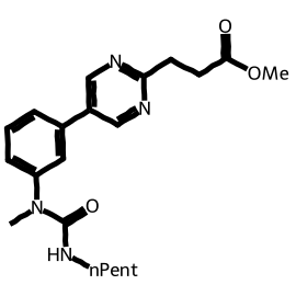 CCCCCNC(=O)N(C)c1cccc(-c2cnc(CCC(=O)OC)nc2)c1